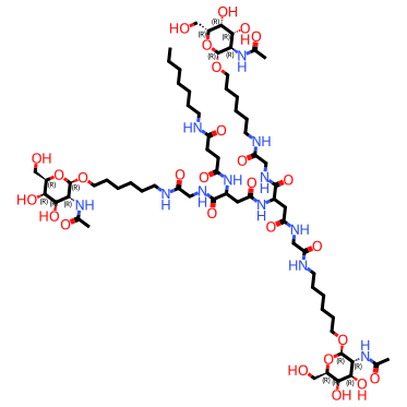 CCCCCCCNC(=O)CCC(=O)NC(CC(=O)NC(CC(=O)NCC(=O)NCCCCCCO[C@@H]1O[C@H](CO)[C@H](O)[C@H](O)[C@H]1NC(C)=O)C(=O)NCC(=O)NCCCCCCO[C@@H]1O[C@H](CO)[C@H](O)[C@H](O)[C@H]1NC(C)=O)C(=O)NCC(=O)NCCCCCCO[C@@H]1O[C@H](CO)[C@H](O)[C@H](O)[C@H]1NC(C)=O